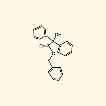 O=C(OCc1ccccc1)C(O)(c1ccccc1)c1ccccc1